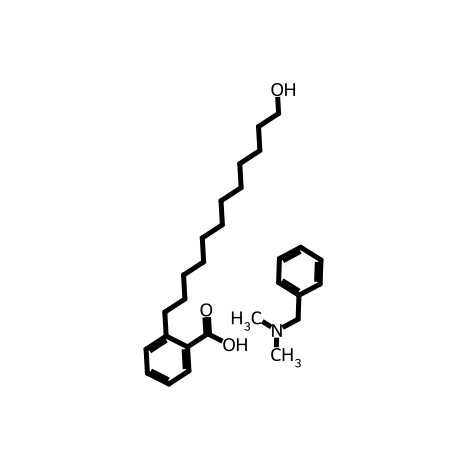 CN(C)Cc1ccccc1.O=C(O)c1ccccc1CCCCCCCCCCCCO